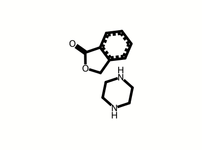 C1CNCCN1.O=C1OCc2ccccc21